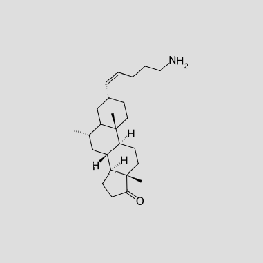 C[C@H]1C[C@@H]2[C@H](CC[C@]3(C)C(=O)CC[C@@H]23)[C@@]2(C)CC[C@@H](/C=C\CCCN)CC12